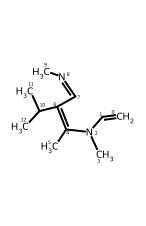 C=CN(C)/C(C)=C(\C=N/C)C(C)C